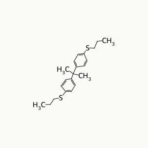 CCCSc1ccc(C(C)(C)c2ccc(SCCC)cc2)cc1